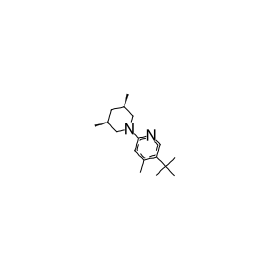 Cc1cc(N2C[C@H](C)C[C@H](C)C2)ncc1C(C)(C)C